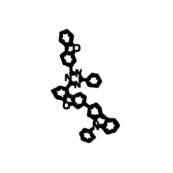 c1ccc(-c2nc(-c3ccc4c(c3)oc3ccccc34)nc(-c3cccc4oc5cc(-c6ccc7c8ccccc8n(-c8ccccc8)c7c6)ccc5c34)n2)cc1